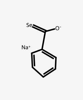 [Na+].[O-]C(=[Se])c1ccccc1